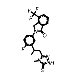 CC(Cc1n[nH]c(=S)n1C)c1cc(N2Cc3c(cccc3C(F)(F)F)C2=O)ccc1F